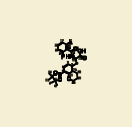 CC1(C)OB(c2ccc(CC(NC(=O)c3c(F)cccc3F)C(=O)O)c3c2OCCC3)OC1(C)C